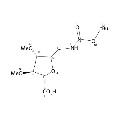 CO[C@@H]1[C@@H](C(=O)O)OC(CNC(=O)OC(C)(C)C)[C@H]1OC